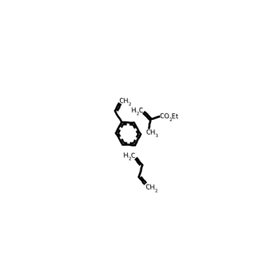 C=C(C)C(=O)OCC.C=CC=C.C=Cc1ccccc1